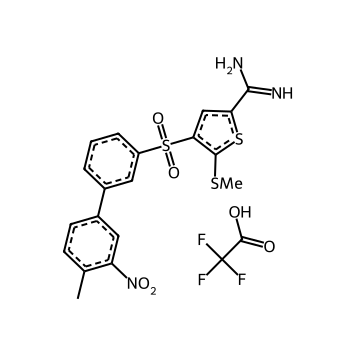 CSc1sc(C(=N)N)cc1S(=O)(=O)c1cccc(-c2ccc(C)c([N+](=O)[O-])c2)c1.O=C(O)C(F)(F)F